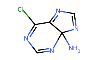 NC12N=CN=C(Cl)C1=NC=N2